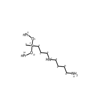 CCCO[Si](C)(CCCNCCCCN)OCCC